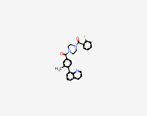 Cc1cc(C(=O)N2CCN(C(=O)c3ccccc3F)CC2)ccc1-c1cccc2cccnc12